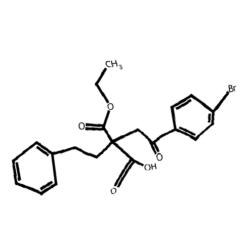 CCOC(=O)C(CCc1ccccc1)(CC(=O)c1ccc(Br)cc1)C(=O)O